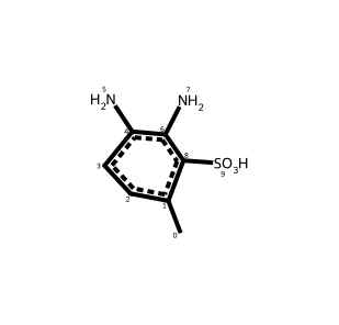 Cc1ccc(N)c(N)c1S(=O)(=O)O